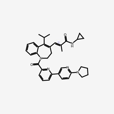 C/C(=C\C1=C(C(C)C)c2ccccc2N(C(=O)c2cccc(-c3ccc(N4CCCC4)nc3)n2)CC1)C(=O)NC1CC1